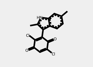 Cc1ccc2c(C3=C(Cl)C(=O)C=C(Cl)C3=O)c(C)[nH]c2c1